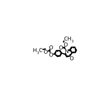 CCOC(=O)Oc1ccc(-c2cc(=O)c3ccccc3n2C(=O)OCC)cc1